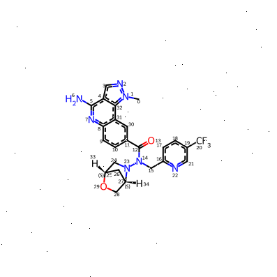 Cn1ncc2c(N)nc3ccc(C(=O)N(Cc4ccc(C(F)(F)F)cn4)N4C[C@@H]5C[C@H]4CO5)cc3c21